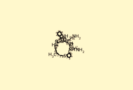 CC1=CC=CSc2ccccc2CN[C@@H](CCCN)C(=O)N[C@@H](CCCCN)C(=O)N(C)[C@@H](Cc2c[nH]c3ccccc23)C(=O)NCC=C1